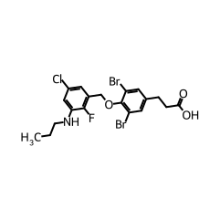 CCCNc1cc(Cl)cc(COc2c(Br)cc(CCC(=O)O)cc2Br)c1F